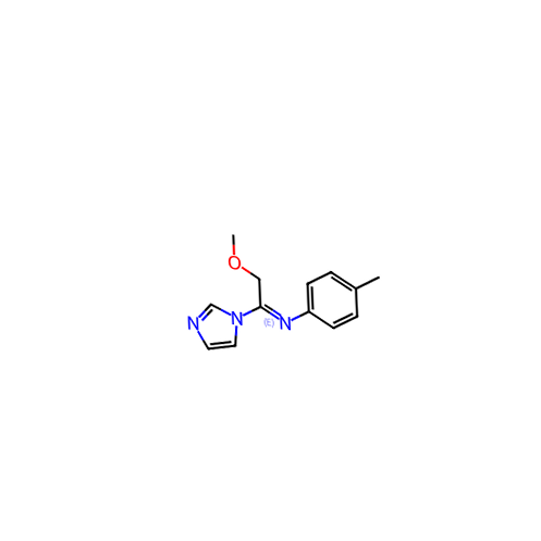 COC/C(=N\c1ccc(C)cc1)n1ccnc1